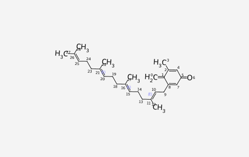 C=C1C(C)=CC(=O)C=C1C/C=C(\C)CC/C=C(\C)CC/C=C(\C)CCC=C(C)C